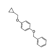 c1ccc(COc2ccc(OCC3CC3)cc2)cc1